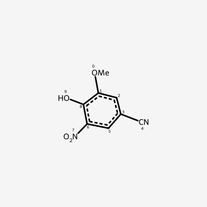 COc1cc(C#N)cc([N+](=O)[O-])c1O